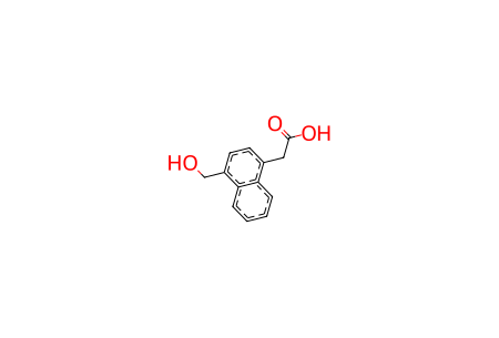 O=C(O)Cc1ccc(CO)c2ccccc12